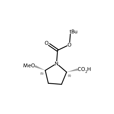 CO[C@H]1CC[C@@H](C(=O)O)N1C(=O)OC(C)(C)C